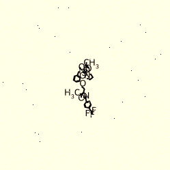 CC(=O)ON(Cc1cccc(OCCc2nc(-c3ccc(C(F)(F)F)cc3)oc2C)c1)S(=O)(=O)N1CCCC1